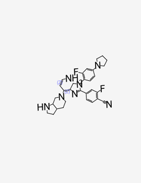 N#Cc1ccc(C2=N/C(=C(/C=C\N)N3CCC4CCNC4C3)CN2c2ccc(N3CCCC3)cc2F)cc1F